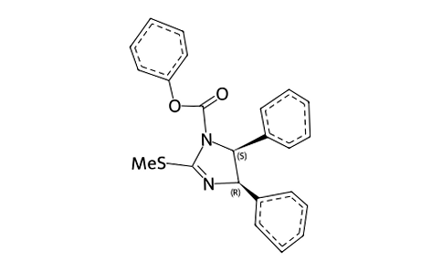 CSC1=N[C@H](c2ccccc2)[C@H](c2ccccc2)N1C(=O)Oc1ccccc1